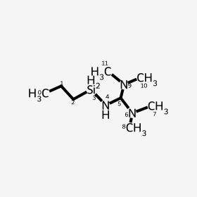 CCC[SiH2]NC(N(C)C)N(C)C